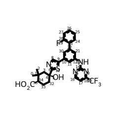 CC1(C)C[C@](O)(c2ncc(-c3cc(Nc4nccc(C(F)(F)F)n4)cc(-c4ccccc4F)c3)s2)CC[C@H]1C(=O)O